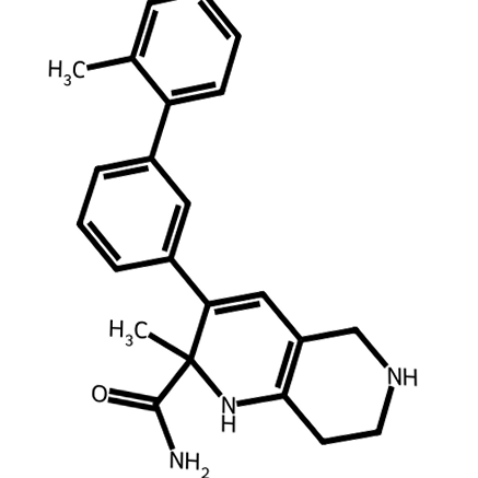 Cc1ccccc1-c1cccc(C2=CC3=C(CCNC3)NC2(C)C(N)=O)c1